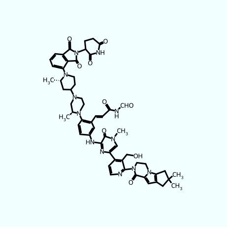 C[C@H]1CN(C2CCN(c3cccc4c3C(=O)N(C3CCC(=O)NC3=O)C4=O)[C@@H](C)C2)CCN1c1ccc(Nc2nc(-c3ccnc(N4CCn5c(cc6c5CC(C)(C)C6)C4=O)c3CO)cn(C)c2=O)cc1C=CC(=O)NC=O